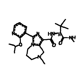 CNC(=O)[C@@H](NC(=O)c1nc(-c2cccnc2OC(C)C)n2c1CN(C)CCC2)C(C)(C)C